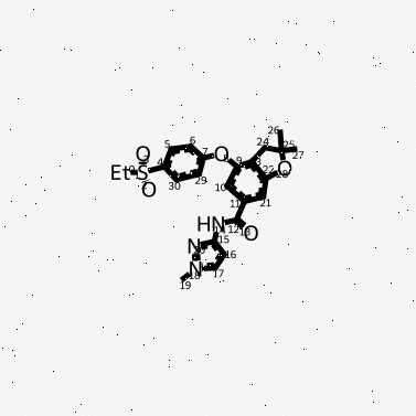 CCS(=O)(=O)c1ccc(Oc2cc(C(=O)Nc3ccn(C)n3)cc3c2CC(C)(C)O3)cc1